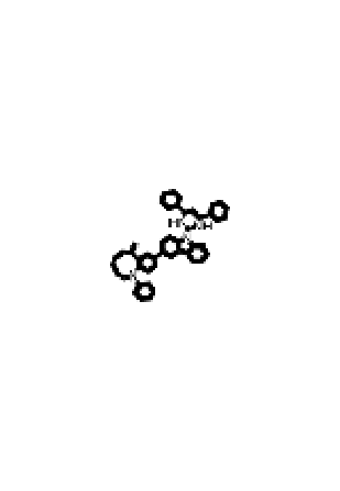 C=C1/C=C\C=C/CN(c2ccccc2)c2ccc(-c3ccc4c(c3)c3ccccc3n4C3NC(c4ccccc4)=CC(c4ccccc4)N3)cc21